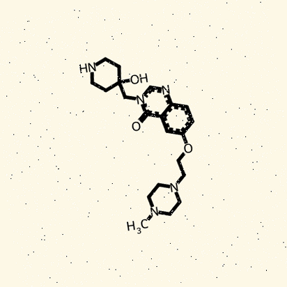 CN1CCN(CCOc2ccc3ncn(CC4(O)CCNCC4)c(=O)c3c2)CC1